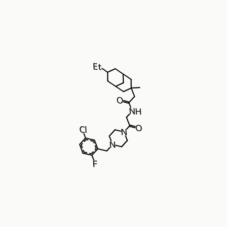 CCC1CC2CC(C1)CC(C)(CC(=O)NCC(=O)N1CCN(Cc3cc(Cl)ccc3F)CC1)C2